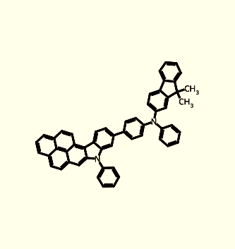 CC1(C)c2ccccc2-c2ccc(N(c3ccccc3)c3ccc(-c4ccc5c6c7ccc8cccc9ccc(cc6n(-c6ccccc6)c5c4)c7c98)cc3)cc21